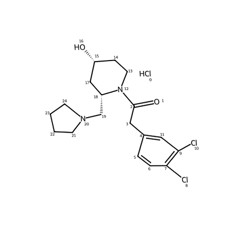 Cl.O=C(Cc1ccc(Cl)c(Cl)c1)N1CC[C@@H](O)C[C@H]1CN1CCCC1